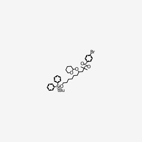 CC(C)(C)[Si](OCCCCCCC(CC(C)(C)S(=O)(=O)c1ccc(Br)cc1)OC1CCCCO1)(c1ccccc1)c1ccccc1